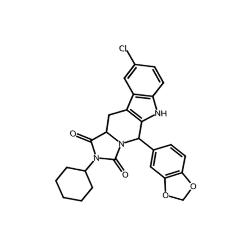 O=C1C2Cc3c([nH]c4ccc(Cl)cc34)C(c3ccc4c(c3)OCO4)N2C(=O)N1C1CCCCC1